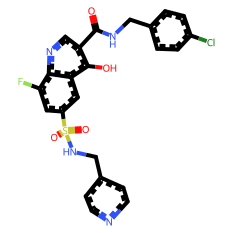 O=C(NCc1ccc(Cl)cc1)c1cnc2c(F)cc(S(=O)(=O)NCc3ccncc3)cc2c1O